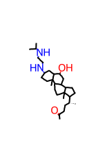 CC(=O)CC[C@@H](C)C1CCC2C3C[C@H](O)C4C[C@H](NCCNC(C)C)CCC4(C)C3CCC21C